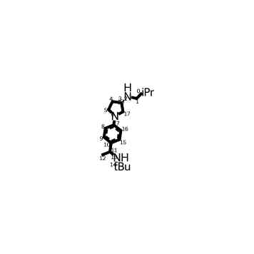 CC(C)CN[C@H]1CCN(c2ccc(C(C)NC(C)(C)C)cc2)C1